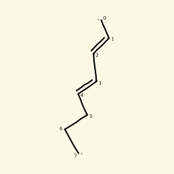 [CH2]/C=C/C=C/CC[CH2]